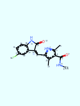 CCNC(=O)c1c(C)[nH]c(/C=C2\C(=O)Nc3ccc(F)cc32)c1C